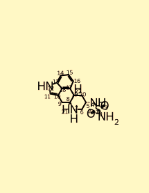 NS(=O)(=O)N[C@@H]1CN[C@@H]2Cc3c[nH]c4cccc(c34)[C@H]2C1